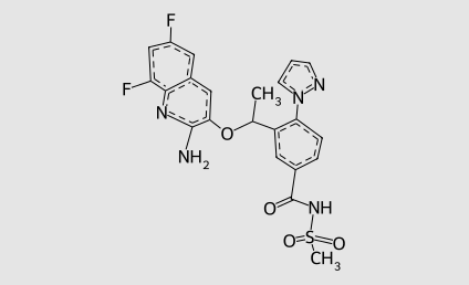 CC(Oc1cc2cc(F)cc(F)c2nc1N)c1cc(C(=O)NS(C)(=O)=O)ccc1-n1cccn1